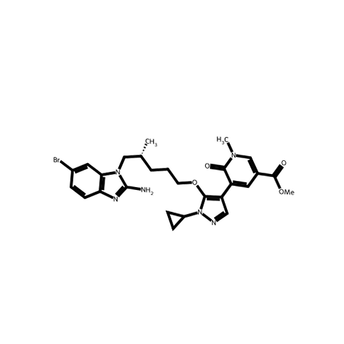 COC(=O)c1cc(-c2cnn(C3CC3)c2OCCC[C@@H](C)Cn2c(N)nc3ccc(Br)cc32)c(=O)n(C)c1